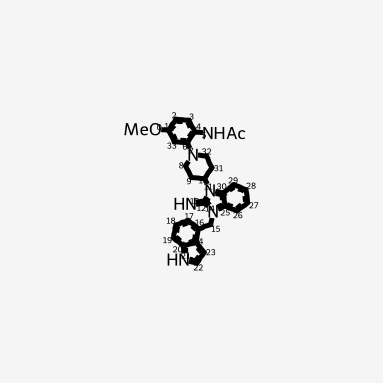 COc1ccc(NC(C)=O)c(N2CCC(n3c(=N)n(Cc4cccc5[nH]ccc45)c4ccccc43)CC2)c1